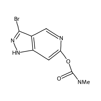 CNC(=O)Oc1cc2[nH]nc(Br)c2cn1